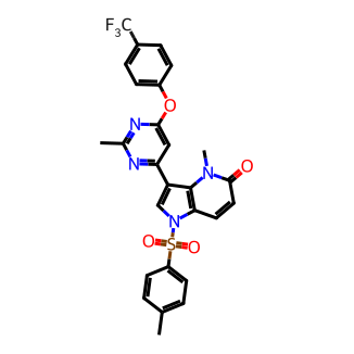 Cc1ccc(S(=O)(=O)n2cc(-c3cc(Oc4ccc(C(F)(F)F)cc4)nc(C)n3)c3c2ccc(=O)n3C)cc1